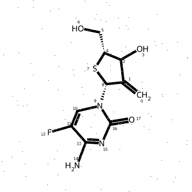 C=C1C(O)[C@@H](CO)S[C@H]1n1cc(F)c(N)nc1=O